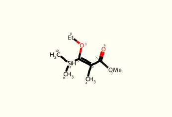 CCOC(=C(C)C(=O)OC)[SiH](C)C